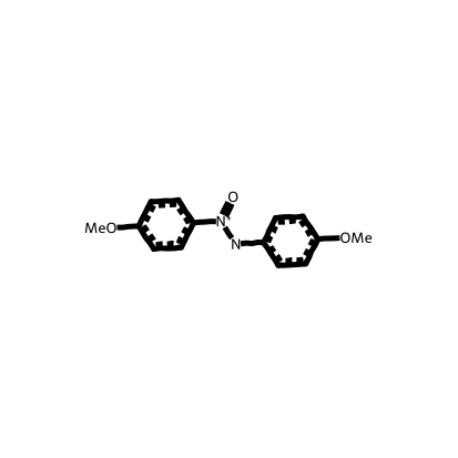 COc1ccc([N-][N+](=O)c2ccc(OC)cc2)cc1